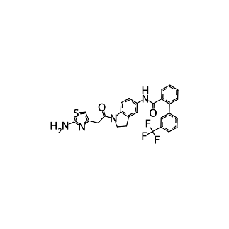 Nc1nc(CC(=O)N2CCc3cc(NC(=O)c4ccccc4-c4cccc(C(F)(F)F)c4)ccc32)cs1